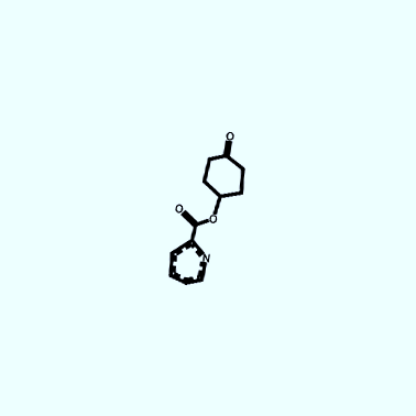 O=C1CCC(OC(=O)c2ccccn2)CC1